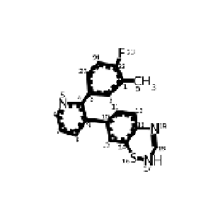 Cc1cc(-c2ncccc2-c2ccc3c(c2)SNC=N3)ccc1F